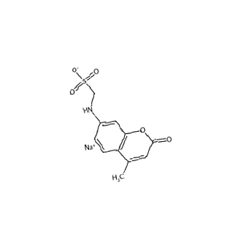 Cc1cc(=O)oc2cc(NCS(=O)(=O)[O-])ccc12.[Na+]